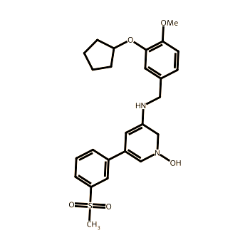 COc1ccc(CNC2=CC(c3cccc(S(C)(=O)=O)c3)=CN(O)C2)cc1OC1CCCC1